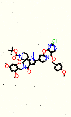 COc1ccc(COCc2cnc(Cl)nc2Oc2cc(-c3cc4c([nH]3)C3(CCCN(C(=O)OC(C)(C)C)C3)CN(Cc3c(OC)cc(OC)cc3OC)C4=O)ccn2)cc1